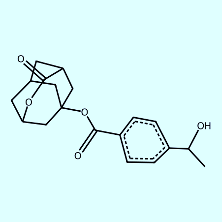 CC(O)c1ccc(C(=O)OC23CC4CC(C2)OC(=O)C(C4)C3)cc1